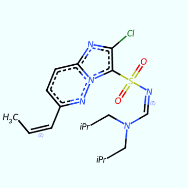 C/C=C\c1ccc2nc(Cl)c(S(=O)(=O)/N=C\N(CC(C)C)CC(C)C)n2n1